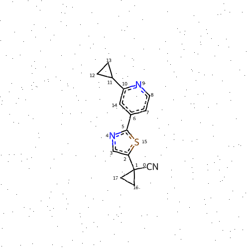 N#CC1(c2cnc(-c3ccnc(C4CC4)c3)s2)CC1